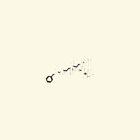 CC(C)(C)OCC(NC(=O)OC(C)(C)C)C(=O)NCCCNC(=O)OCc1ccccc1